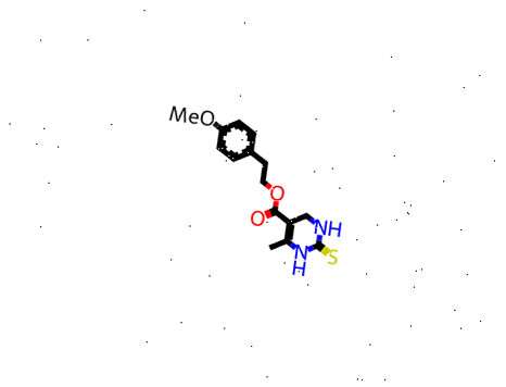 COc1ccc(CCOC(=O)C2=C(C)NC(=S)NC2)cc1